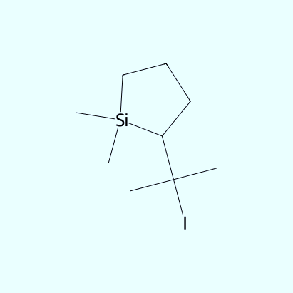 CC(C)(I)C1CCC[Si]1(C)C